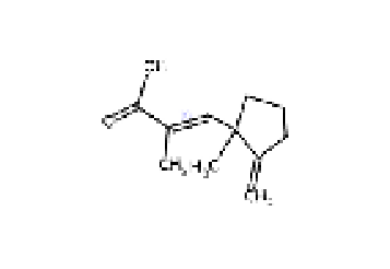 C=C1CCCC1(C)/C=C(\C)C(=O)O